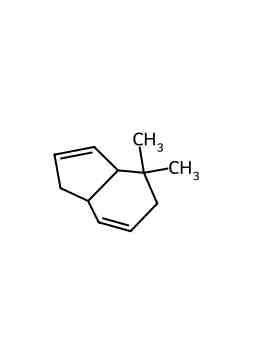 CC1(C)CC=CC2CC=CC21